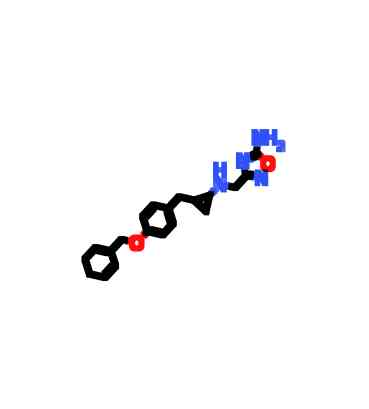 Nc1nc(CN[C@H]2CC2Cc2ccc(OCC3=CCCC=C3)cc2)no1